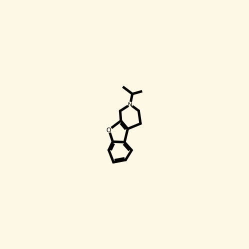 CC(C)N1CCc2c(oc3ccccc23)C1